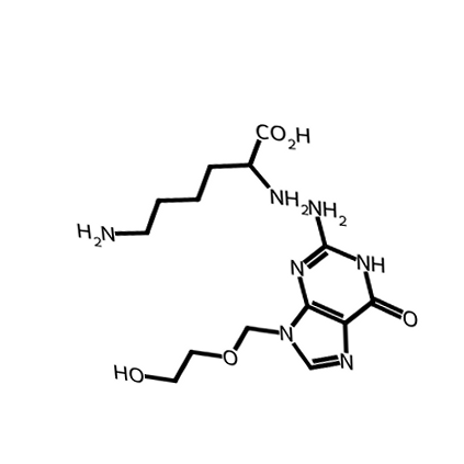 NCCCCC(N)C(=O)O.Nc1nc2c(ncn2COCCO)c(=O)[nH]1